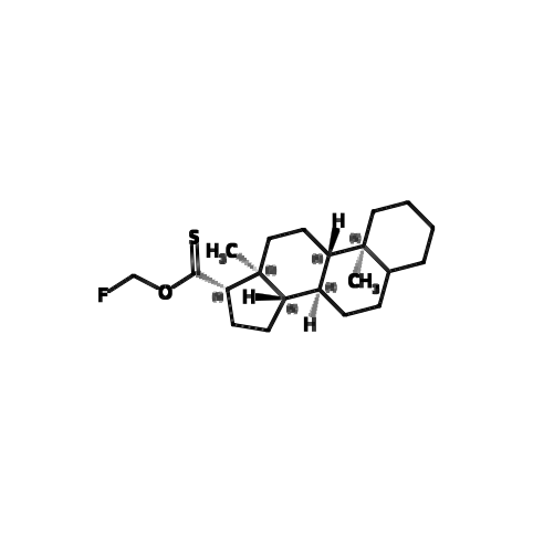 C[C@]12CC[C@H]3[C@@H](CCC4CCCC[C@@]43C)[C@@H]1CC[C@@H]2C(=S)OCF